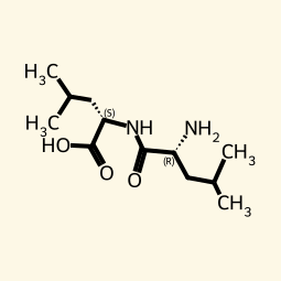 CC(C)C[C@@H](N)C(=O)N[C@@H](CC(C)C)C(=O)O